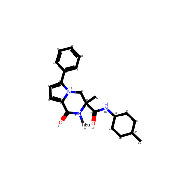 CCCCN1C(=O)c2ccc(-c3ccccc3)n2CC1(C)C(=O)NC1CCC(C)CC1